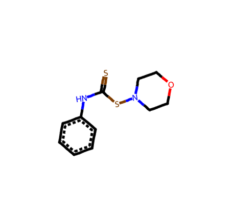 S=C(Nc1ccccc1)SN1CCOCC1